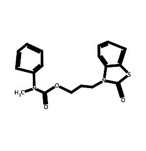 CN(C(=O)OCCCn1c(=O)sc2ccccc21)c1ccccc1